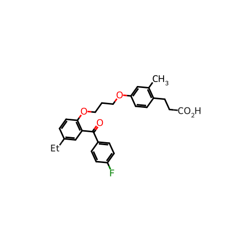 CCc1ccc(OCCCOc2ccc(CCC(=O)O)c(C)c2)c(C(=O)c2ccc(F)cc2)c1